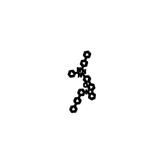 c1ccc(-c2ccc(-c3cccc(-n4c5ccccc5c5ccc6c7ccc(-c8nc(-c9ccccc9)nc(-c9ccc(-c%10ccccc%10)cc9)n8)cc7oc6c54)c3)cc2)cc1